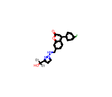 CCC(O)(CC)c1ccn(NCc2ccc3c(-c4ccc(F)cc4)cc(=O)oc3c2)n1